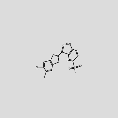 Cc1cc2c(cc1Cl)CN(C(=O)c1cc(S(C)(=O)=O)ccc1OCC(C)C)C2